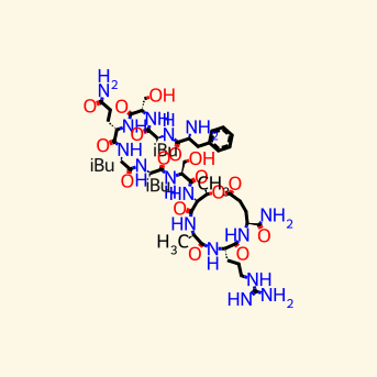 CC[C@H](C)[C@H](NC(=O)[C@H](CCC(N)=O)NC(=O)[C@H](CO)NC(=O)[C@@H](NC(=O)[C@@H](N)Cc1ccccc1)[C@@H](C)CC)C(=O)N[C@H](C(=O)N[C@@H](CO)C(=O)N[C@H]1C(=O)N[C@@H](C)C(=O)N[C@@H](CCCNC(=N)N)C(=O)N[C@H](C(N)=O)CCC(=O)O[C@H]1C)[C@@H](C)CC